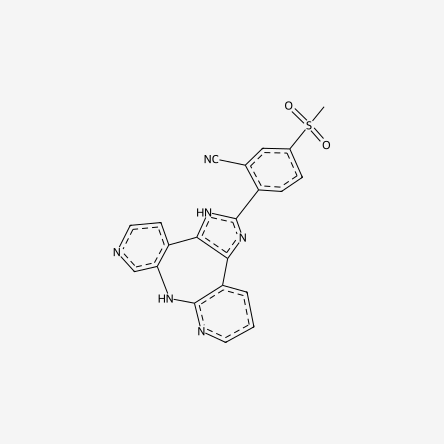 CS(=O)(=O)c1ccc(-c2nc3c([nH]2)-c2ccncc2Nc2ncccc2-3)c(C#N)c1